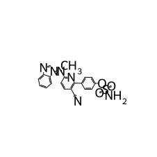 CN(c1ccc(C#N)c(-c2ccc(OS(N)(=O)=O)cc2)n1)n1cnc2ccccc21